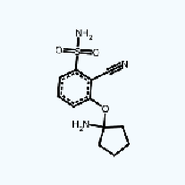 N#Cc1c(OC2(N)CCCC2)cccc1S(N)(=O)=O